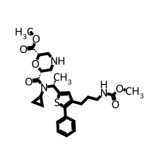 COC(=O)NCCCc1cc([C@@H](C)N(C(=O)[C@H]2CNC[C@@H](C(=O)OC)O2)C2CC2)sc1-c1ccccc1